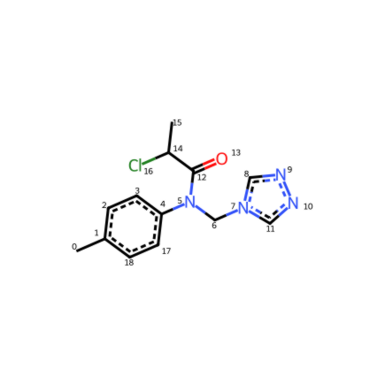 Cc1ccc(N(Cn2cnnc2)C(=O)C(C)Cl)cc1